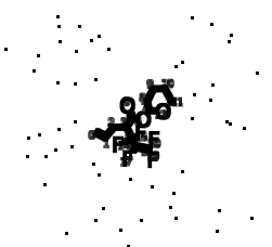 C=CCC(C(=O)OC1CCCCO1)C(F)(F)C(F)=C(F)F